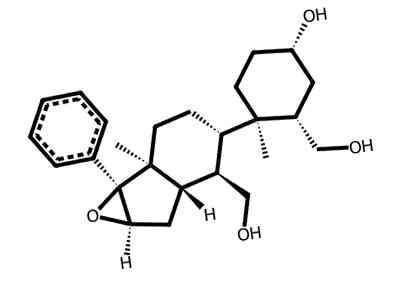 C[C@]1([C@H]2CC[C@@]3(C)[C@@H](C[C@H]4O[C@]43c3ccccc3)[C@@H]2CO)CC[C@H](O)C[C@@H]1CO